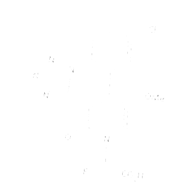 COc1cn(C(F)C(=O)O)c(=O)cc1-c1cc(Cl)ccc1-n1cnnn1